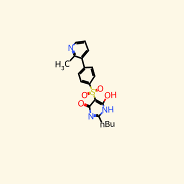 CCCCc1nc(=O)c(S(=O)(=O)c2ccc(-c3cccnc3C)cc2)c(O)[nH]1